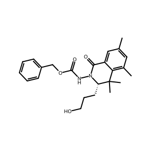 Cc1cc(C)c2c(c1)C(=O)N(NC(=O)OCc1ccccc1)[C@@H](CCCO)C2(C)C